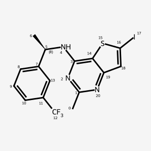 Cc1nc(N[C@H](C)c2cccc(C(F)(F)F)c2)c2sc(I)cc2n1